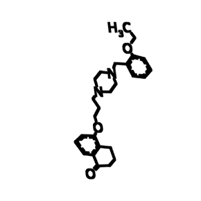 CCOc1ccccc1CN1CCN(CCCOc2cccc3c2CCCC3=O)CC1